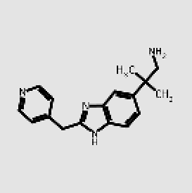 CC(C)(CN)c1ccc2[nH]c(Cc3ccncc3)nc2c1